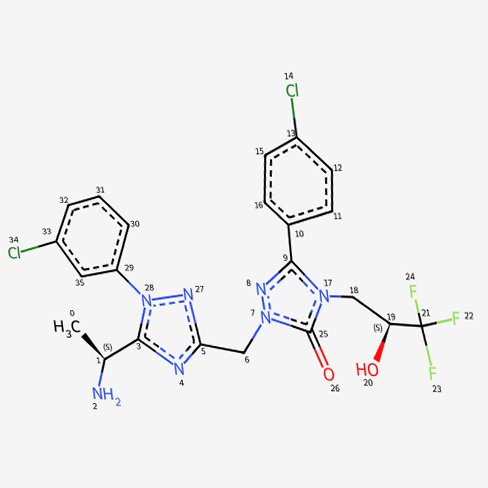 C[C@H](N)c1nc(Cn2nc(-c3ccc(Cl)cc3)n(C[C@H](O)C(F)(F)F)c2=O)nn1-c1cccc(Cl)c1